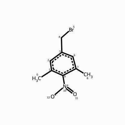 Cc1cc(CBr)cc(C)c1[N+](=O)[O-]